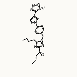 CCCCc1nc(C(=O)CCC)nn1Cc1ccc(-n2ccc(-c3nnn[nH]3)c2)cc1